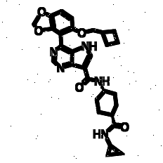 O=C(N[C@H]1CC[C@H](C(=O)NC2CC2)CC1)c1c[nH]c2c(-c3c(OCC4CCC4)ccc4c3OCO4)ncnc12